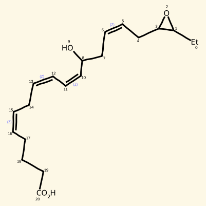 CCC1OC1C/C=C\CC(O)/C=C\C=C/C/C=C\CCCC(=O)O